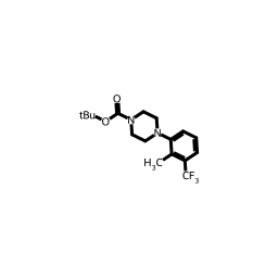 Cc1c(N2CCN(C(=O)OC(C)(C)C)CC2)cccc1C(F)(F)F